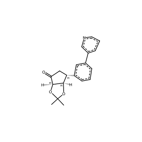 CC1(C)O[C@@H]2[C@@H](c3cccc(-c4cccnc4)c3)CC(=O)[C@@H]2O1